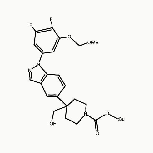 COCOc1cc(-n2ncc3cc(C4(CO)CCN(C(=O)OC(C)(C)C)CC4)ccc32)cc(F)c1F